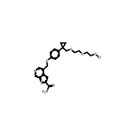 CCOCCOCCOCC1(c2ccc(OCc3cncc4sc(C(N)=O)cc34)cc2)CC1